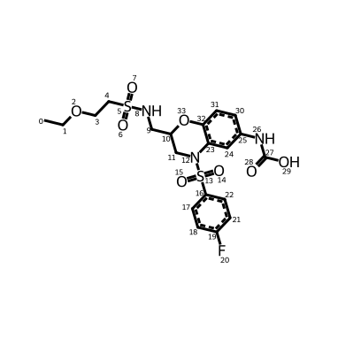 CCOCCS(=O)(=O)NCC1CN(S(=O)(=O)c2ccc(F)cc2)c2cc(NC(=O)O)ccc2O1